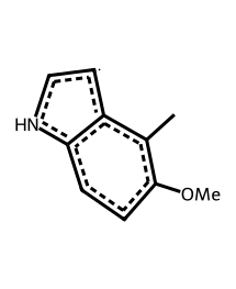 COc1ccc2[nH]c[c]c2c1C